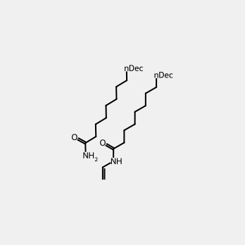 C=CNC(=O)CCCCCCCCCCCCCCCCC.CCCCCCCCCCCCCCCCCC(N)=O